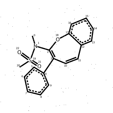 CN(C1=C(c2ccccc2)C=Cc2ccccc2O1)S(C)(=O)=O